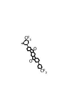 C[C@@H]1C=C(c2ccc3c(c2)c(=O)c2cc4c(cc23)c(=O)c2cc(-c3ccc(C(F)(F)F)cc3)ccc24)C=CC(C(F)(F)F)=C1